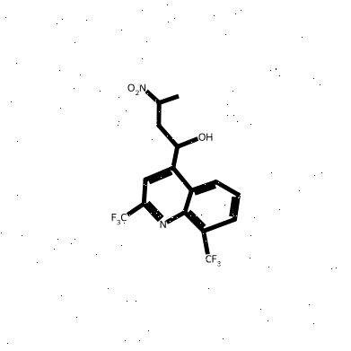 CC(CC(O)c1cc(C(F)(F)F)nc2c(C(F)(F)F)cccc12)[N+](=O)[O-]